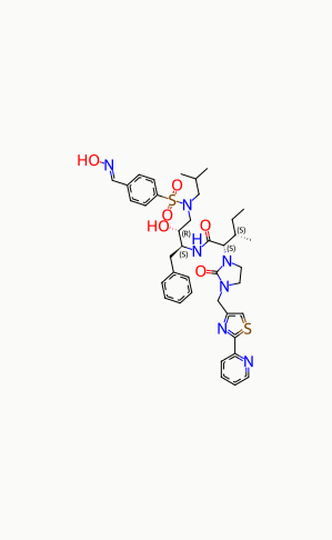 CC[C@H](C)[C@@H](C(=O)N[C@@H](Cc1ccccc1)[C@H](O)CN(CC(C)C)S(=O)(=O)c1ccc(C=NO)cc1)N1CCN(Cc2csc(-c3ccccn3)n2)C1=O